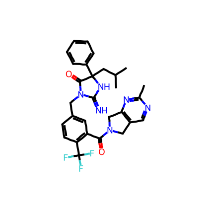 Cc1ncc2c(n1)CN(C(=O)c1cc(CN3C(=N)NC(CC(C)C)(c4ccccc4)C3=O)ccc1C(F)(F)F)C2